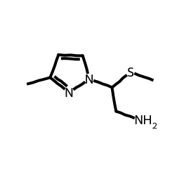 CSC(CN)n1ccc(C)n1